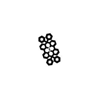 C1=CC2C3B4C5C(=CC=CC5C2(c2ccccc2)c2ccccc2)C2=CC=CC5C2N4C2C(=CC=CC2C5(c2ccccc2)c2ccccc2)C3=C1